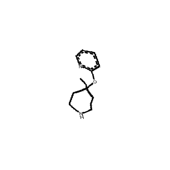 CC1(Oc2ccccn2)CCNCC1